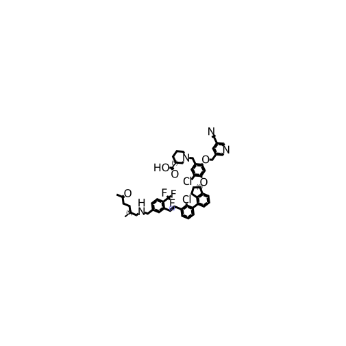 CC(=O)CC[C@H](C)CNCc1ccc(C(F)(F)F)c(/C=C/c2cccc(-c3cccc4c3CC[C@@H]4Oc3cc(OCc4cncc(C#N)c4)c(CN4CCC[C@H](C(=O)O)C4)cc3Cl)c2Cl)c1